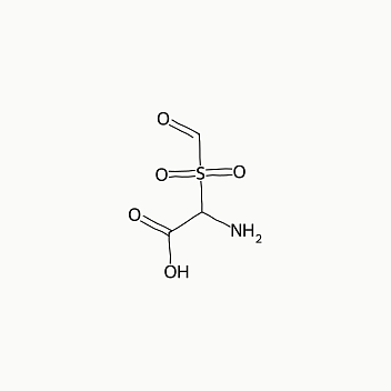 NC(C(=O)O)S(=O)(=O)C=O